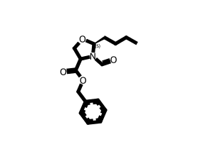 CCCC[C@@H]1OCC(C(=O)OCc2ccccc2)N1C=O